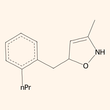 CCCc1ccccc1CC1C=C(C)NO1